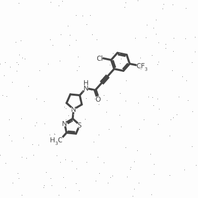 Cc1csc(N2CCC(NC(=O)C#Cc3cc(C(F)(F)F)ccc3Cl)C2)n1